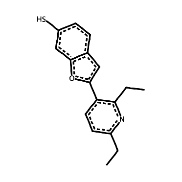 CCc1ccc(-c2cc3ccc(S)cc3o2)c(CC)n1